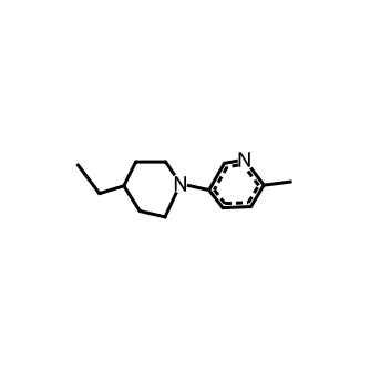 CCC1CCN(c2ccc(C)nc2)CC1